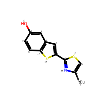 CC(C)(C)c1csc(-c2cc3cc(O)ccc3s2)n1